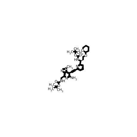 Cn1cnc2c(CNC(=O)OC(C)(C)C)nc(N)c(C#Cc3cccc([C@H](CCOC4CCCCO4)NC(=O)OC(C)(C)C)n3)c21